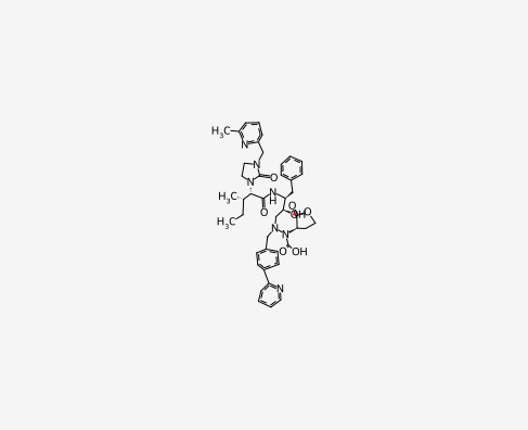 CC[C@H](C)[C@@H](C(=O)N[C@@H](Cc1ccccc1)[C@@H](O)CN(Cc1ccc(-c2ccccn2)cc1)N(C(=O)O)[C@@H]1CCOC1=O)N1CCN(Cc2cccc(C)n2)C1=O